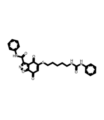 O=C(NCCCCCSC1=CC(=O)c2onc(C(=O)Nc3ccccc3)c2C1=O)Nc1ccccc1